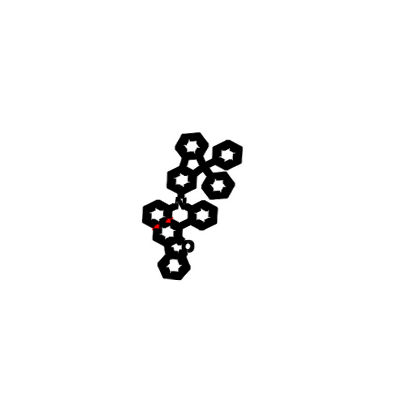 c1ccc(N(c2ccc3c(c2)C(c2ccccc2)(c2ccccc2)c2ccccc2-3)c2ccccc2-c2cccc3c2oc2ccccc23)cc1